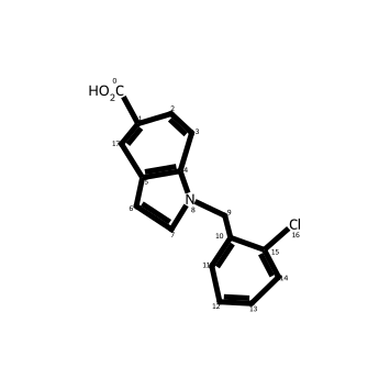 O=C(O)c1ccc2c(ccn2Cc2ccccc2Cl)c1